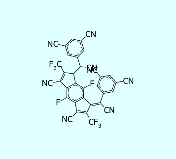 N#CC1=C(C(F)(F)F)/C(=C(\C#N)c2cc(C#N)cc(C#N)c2)c2c(F)c3c(c(F)c21)C(C#N)=C(C(F)(F)F)C3C(C#N)c1cc(C#N)cc(C#N)c1